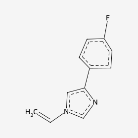 C=Cn1cnc(-c2ccc(F)cc2)c1